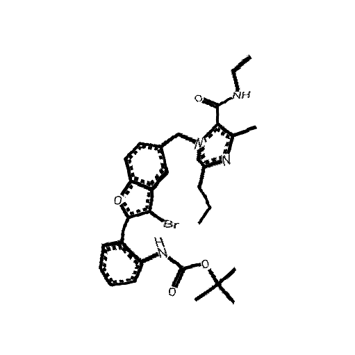 CCCc1nc(C)c(C(=O)NCC)n1Cc1ccc2oc(-c3ccccc3NC(=O)OC(C)(C)C)c(Br)c2c1